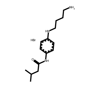 Br.CC(C)CC(=O)Nc1ccc(NCCCCN)cc1